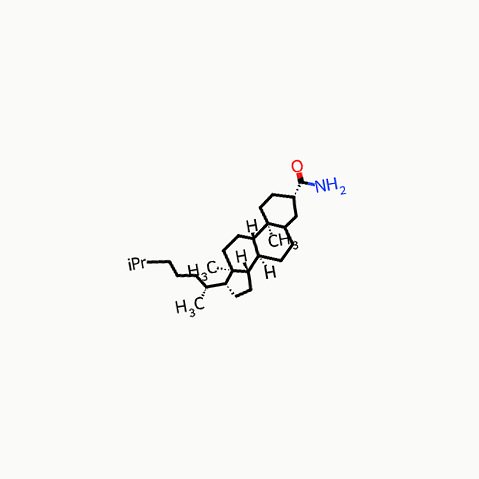 CC(C)CCC[C@@H](C)[C@H]1CC[C@H]2[C@@H]3CCC4C[C@@H](C(N)=O)CC[C@]4(C)[C@H]3CC[C@]12C